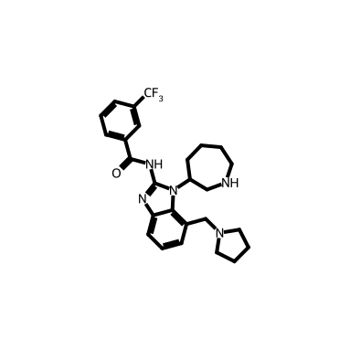 O=C(Nc1nc2cccc(CN3CCCC3)c2n1C1CCCCNC1)c1cccc(C(F)(F)F)c1